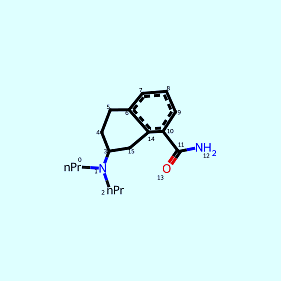 CCCN(CCC)C1CCc2cccc(C(N)=O)c2C1